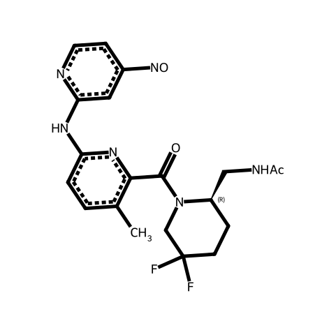 CC(=O)NC[C@H]1CCC(F)(F)CN1C(=O)c1nc(Nc2cc(N=O)ccn2)ccc1C